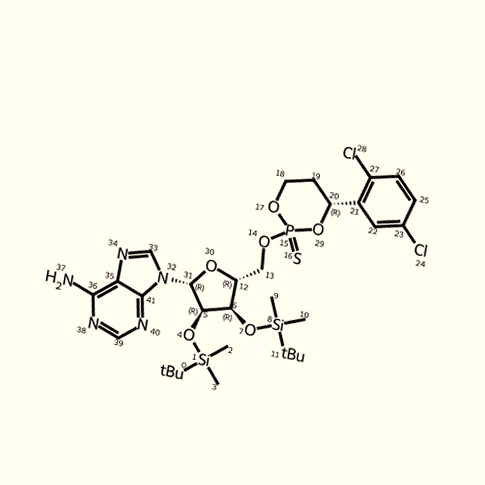 CC(C)(C)[Si](C)(C)O[C@@H]1[C@H](O[Si](C)(C)C(C)(C)C)[C@@H](COP2(=S)OCC[C@H](c3cc(Cl)ccc3Cl)O2)O[C@H]1n1cnc2c(N)ncnc21